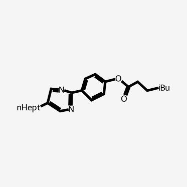 CCCCCCCc1cnc(-c2ccc(OC(=O)CCC(C)CC)cc2)nc1